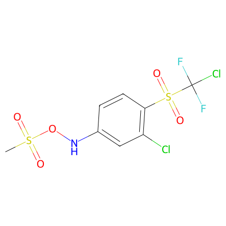 CS(=O)(=O)ONc1ccc(S(=O)(=O)C(F)(F)Cl)c(Cl)c1